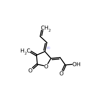 C=C/C=C1\C(=C)C(=O)OC1=CC(=O)O